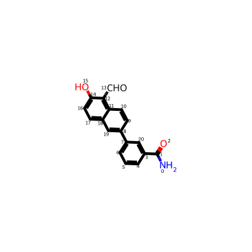 NC(=O)c1cccc(-c2ccc3c(C=O)c(O)ccc3c2)c1